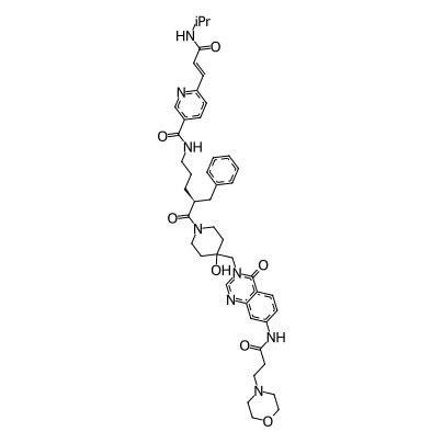 CC(C)NC(=O)/C=C/c1ccc(C(=O)NCCC[C@@H](Cc2ccccc2)C(=O)N2CCC(O)(Cn3cnc4cc(NC(=O)CCN5CCOCC5)ccc4c3=O)CC2)cn1